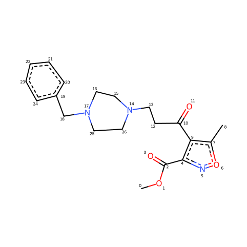 COC(=O)c1noc(C)c1C(=O)CCN1CCN(Cc2ccccc2)CC1